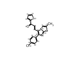 Cc1cn2c(C=CC(=O)c3cccs3)c(-c3ccc(Cl)cc3)nc2s1